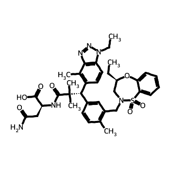 CC[C@@H]1CN(Cc2cc([C@@H](c3ccc4c(nnn4CC)c3C)C(C)(C)C(=O)N[C@@H](CC(N)=O)C(=O)O)ccc2C)S(=O)(=O)c2ccccc2O1